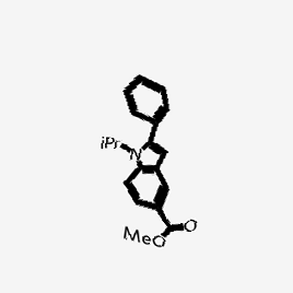 COC(=O)c1ccc2c(c1)cc(-c1ccccc1)n2C(C)C